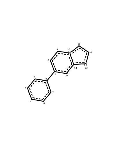 [c]1c(-c2ccccc2)ccn2ccnc12